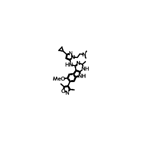 COc1cc2c3c([nH]c2cc1-c1c(C)noc1C)NC(C)N=C3Nc1cc(C2CC2)nn1CCN(C)C